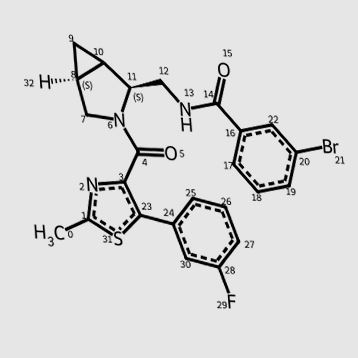 Cc1nc(C(=O)N2C[C@H]3CC3[C@H]2CNC(=O)c2cccc(Br)c2)c(-c2cccc(F)c2)s1